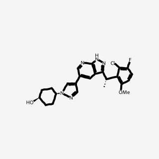 COc1ccc(F)c(Cl)c1[C@H](C)c1n[nH]c2ncc(-c3cnn([C@H]4CC[C@H](O)CC4)c3)cc12